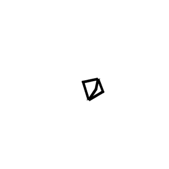 C1[C]2C[C]1C2